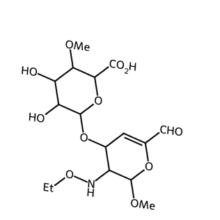 CCONC1C(OC2OC(C(=O)O)C(OC)C(O)C2O)C=C(C=O)OC1OC